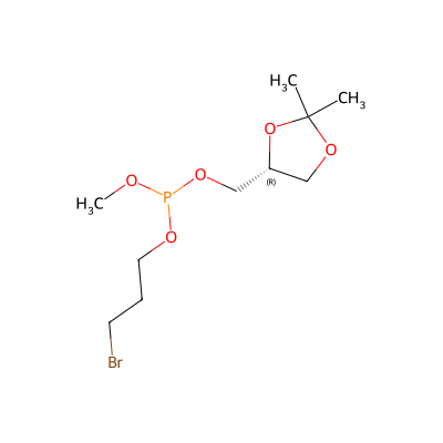 COP(OCCCBr)OC[C@H]1COC(C)(C)O1